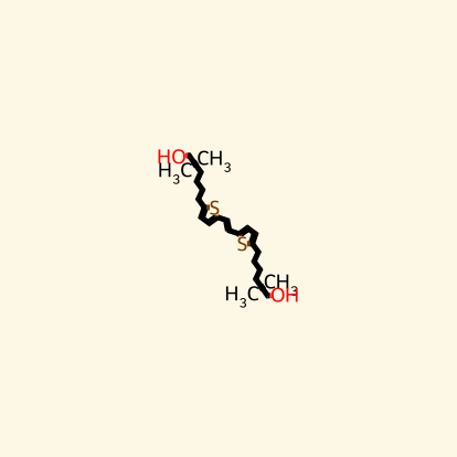 CC(C)(CO)CCCCc1ccc(C=Cc2ccc(CCCCC(C)(C)CO)s2)s1